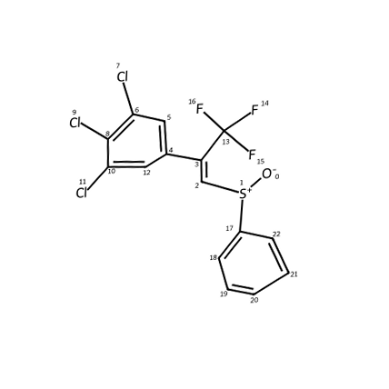 [O-][S+](/C=C(/c1cc(Cl)c(Cl)c(Cl)c1)C(F)(F)F)c1ccccc1